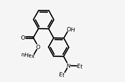 CCCCCCOC(=O)c1ccccc1-c1ccc(N(CC)CC)cc1O